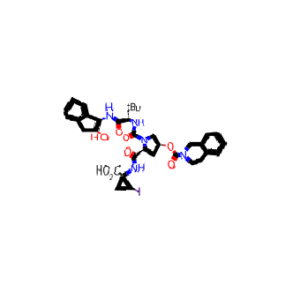 CC(C)(C)[C@H](NC(=O)N1C[C@H](OC(=O)N2CCc3ccccc3C2)C[C@H]1C(=O)N[C@]1(C(=O)O)C[C@H]1I)C(=O)N[C@H]1c2ccccc2C[C@H]1O